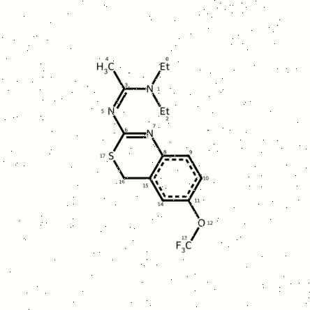 CCN(CC)C(C)=NC1=Nc2ccc(OC(F)(F)F)cc2CS1